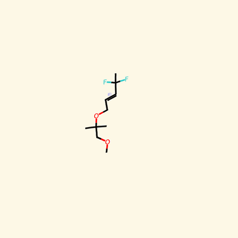 COCC(C)(C)OC/C=C/C(C)(F)F